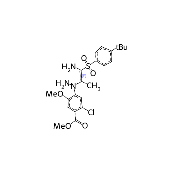 COC(=O)c1cc(OC)c(N(N)/C(C)=C(\N)S(=O)(=O)c2ccc(C(C)(C)C)cc2)cc1Cl